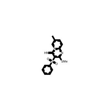 CSc1nc2ccc(C)cn2c(=N)c1S(=O)(=O)c1ccccc1